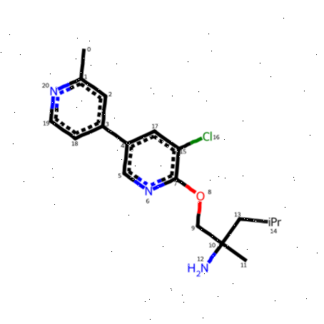 Cc1cc(-c2cnc(OCC(C)(N)CC(C)C)c(Cl)c2)ccn1